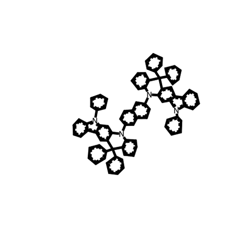 c1ccc(-n2c3ccccc3c3cc4c(cc32)N(c2ccc3cc(N5c6ccccc6C(c6ccccc6)(c6ccccc6)c6cc7c8ccccc8n(-c8ccccc8)c7cc65)ccc3c2)c2ccccc2C4(c2ccccc2)c2ccccc2)cc1